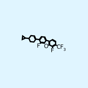 Fc1c(C2=CCC(C3CC3)CC2)ccc2c1oc1c(F)c(C(F)(F)F)ccc12